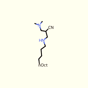 CCCCCCCCCCCCNCC(C#N)CN(C)C